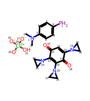 CN(C)c1ccc(P)cc1.O=C1C=C(N2CC2)C(=O)C(N2CC2)=C1N1CC1.[O-][Cl+3]([O-])([O-])O